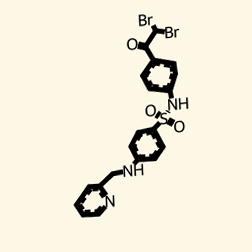 O=C(c1ccc(NS(=O)(=O)c2ccc(NCc3ccccn3)cc2)cc1)C(Br)Br